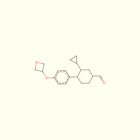 O=CC1CCC(c2ccc(OC3COC3)cc2)C(C2CC2)C1